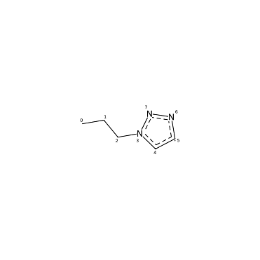 CCCn1c[c]nn1